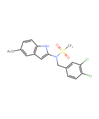 CC(=O)Oc1ccc2[nH]c(N(Cc3ccc(Cl)c(Cl)c3)S(=O)(=O)C(F)(F)F)cc2c1